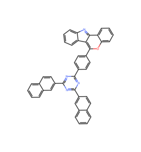 c1ccc2cc(-c3nc(-c4ccc(-c5oc6ccccc6c6nc7ccccc7c5-6)cc4)nc(-c4ccc5ccccc5c4)n3)ccc2c1